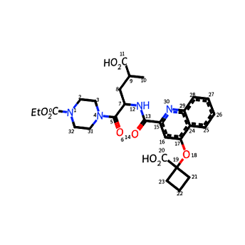 CCOC(=O)N1CCN(C(=O)C(CC(C)C(=O)O)NC(=O)c2cc(OC3(C(=O)O)CCC3)c3ccccc3n2)CC1